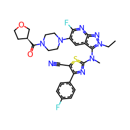 CCn1nc2nc(F)c(N3CCN(C(=O)[C@H]4CCOC4)CC3)cc2c1N(C)c1nc(-c2ccc(F)cc2)c(C#N)s1